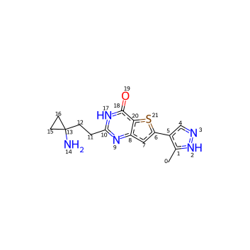 Cc1[nH]ncc1-c1cc2nc(CCC3(N)CC3)[nH]c(=O)c2s1